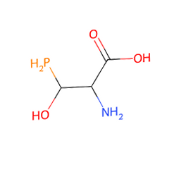 NC(C(=O)O)C(O)P